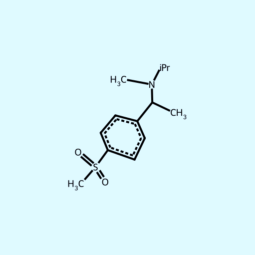 CC(C)N(C)C(C)c1ccc(S(C)(=O)=O)cc1